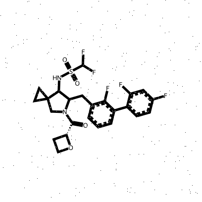 O=C([C@H]1CCO1)N1CC2(CC2)C(NS(=O)(=O)C(F)F)C1Cc1cccc(-c2ccc(F)cc2F)c1F